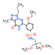 CCCc1nc(C)c2c(=O)[nH]c(-c3cc(S(=O)(=O)NCC(C)(COC)COC)ccc3OCC)nn12